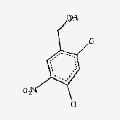 O=[N+]([O-])c1cc(CO)c(Cl)cc1Cl